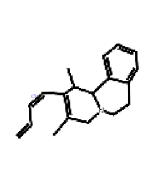 C=C/C=C\C1=C(C)CN2CCc3ccccc3C2C1C